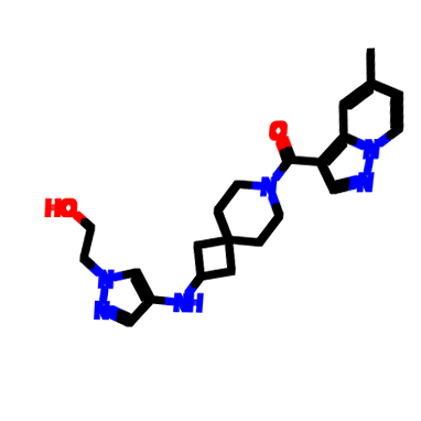 Cc1ccn2ncc(C(=O)N3CCC4(CC3)CC(Nc3cnn(CCO)c3)C4)c2c1